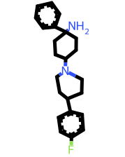 NC1(c2ccccc2)CCC(N2CCC(c3ccc(F)cc3)CC2)CC1